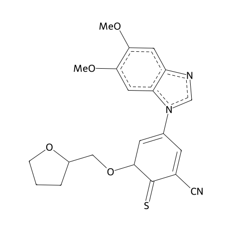 COc1cc2ncn(C3=CC(OCC4CCCO4)C(=S)C(C#N)=C3)c2cc1OC